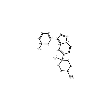 NC1CCC(N)(c2ccn3ncc(-c4cccc(Cl)c4)c3n2)CC1